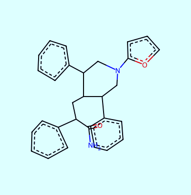 NC(=O)C(CC1C(c2ccccc2)CN(c2ccco2)CC1c1ccccc1)c1ccccc1